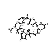 CN1CCCC(c2ccc(Nc3ncc4cc(C5CC5)c(=O)n(Cc5nn(C)cc5S(=O)(=O)c5nccs5)c4n3)cc2)C1